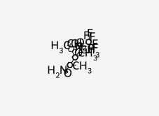 COc1ccc(-c2ccc(C(N)=O)cc2C)cc1C1=C(CN2C(=O)O[C@H](c3cc(C(F)(F)F)cc(C(F)(F)F)c3)[C@@H]2C)CC(C)(C)CC1